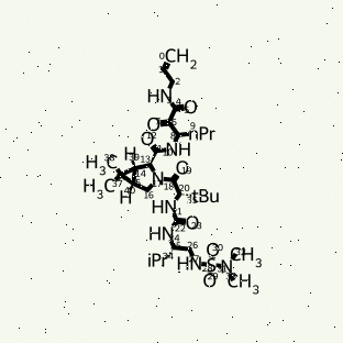 C=CCNC(=O)C(=O)C(CCC)NC(=O)[C@@H]1[C@@H]2[C@H](CN1C(=O)[C@@H](NC(=O)N[C@H](CNS(=O)(=O)N(C)C)C(C)C)C(C)(C)C)C2(C)C